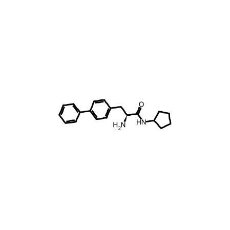 N[C@@H](Cc1ccc(-c2ccccc2)cc1)C(=O)NC1CCCC1